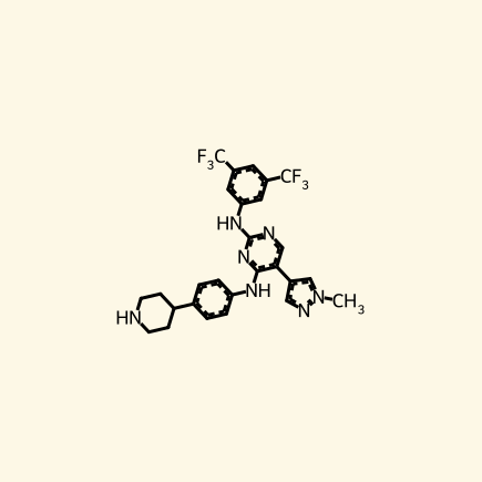 Cn1cc(-c2cnc(Nc3cc(C(F)(F)F)cc(C(F)(F)F)c3)nc2Nc2ccc(C3CCNCC3)cc2)cn1